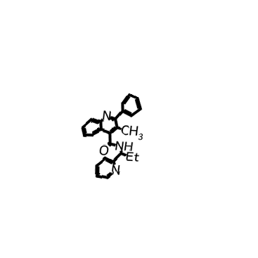 CCC(NC(=O)c1c(C)c(-c2ccccc2)nc2ccccc12)c1ccccn1